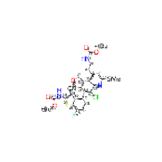 CSc1cc(CCNC(=O)OC(C)(C)C)c2c3c(c(-c4ccc(F)c5sc(NC(=O)OC(C)(C)C)c(C#N)c45)c(Cl)c2n1)COC3